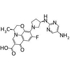 C[C@H]1COc2c(N3CC[C@@H](Nc4ncc(N)cn4)C3)c(F)cc3c(=O)c(C(=O)O)cn1c23